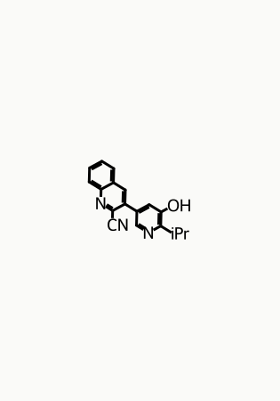 CC(C)c1ncc(-c2cc3ccccc3nc2C#N)cc1O